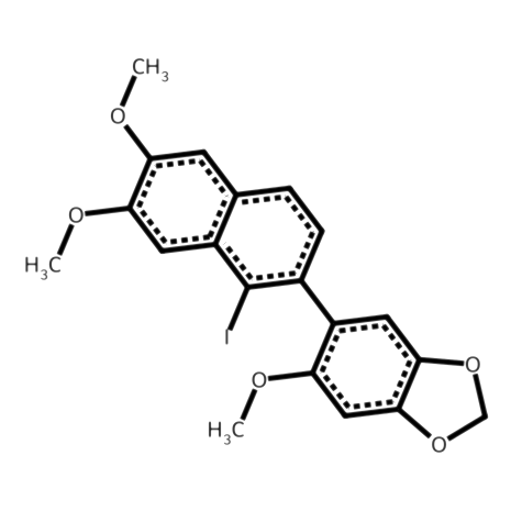 COc1cc2ccc(-c3cc4c(cc3OC)OCO4)c(I)c2cc1OC